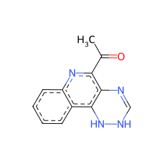 CC(=O)c1nc2ccccc2c2c1N=CNN2